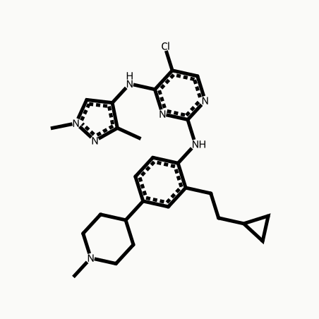 Cc1nn(C)cc1Nc1nc(Nc2ccc(C3CCN(C)CC3)cc2CCC2CC2)ncc1Cl